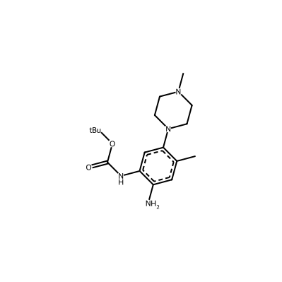 Cc1cc(N)c(NC(=O)OC(C)(C)C)cc1N1CCN(C)CC1